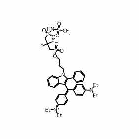 CCN(CC)c1ccc(C(=C2C=CC(=[N+](CC)CC)C=C2)c2c(-c3ccccc3)n(CCCOS(=O)(=O)CC(F)(F)CS(=O)(=O)NS(=O)(=O)C(F)(F)F)c3ccccc23)cc1